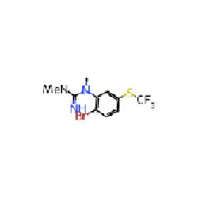 CNC(=N)N(C)c1cc(SC(F)(F)F)ccc1Br